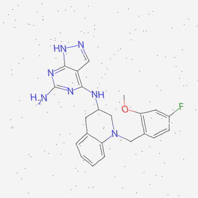 COc1cc(F)ccc1CN1CC(Nc2nc(N)nc3[nH]ncc23)Cc2ccccc21